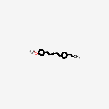 CCCc1ccc(/C=C/C#C/C=C/c2ccc(OC)cc2)cc1